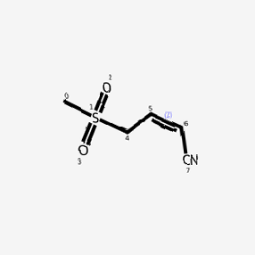 CS(=O)(=O)C/C=C\C#N